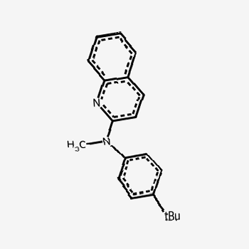 CN(c1ccc(C(C)(C)C)cc1)c1ccc2ccccc2n1